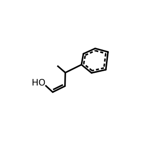 CC(/C=C\O)c1ccccc1